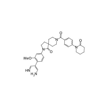 COc1cc(N2CCC3(CCN(C(=O)c4ccc(N5CCCCC5=O)cc4)CC3)C2=O)ccc1/C(C=N)=C/N